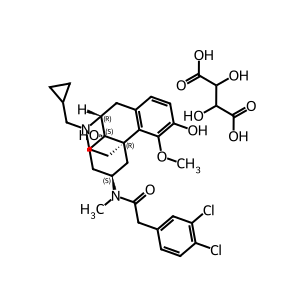 COc1c(O)ccc2c1[C@]13CCN(CC4CC4)[C@H](C2)[C@]1(O)CC[C@H](N(C)C(=O)Cc1ccc(Cl)c(Cl)c1)C3.O=C(O)C(O)C(O)C(=O)O